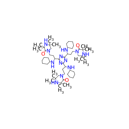 CC1(C)CN(CCC(NC2CCCCC2)c2nc(C(CCN3CC(C)(C)NC(C)(C)C3=O)NC3CCCCC3)nc(C(CCN3CC(C)(C)NC(C)(C)C3=O)NC3CCCCC3)n2)C(=O)C(C)(C)N1